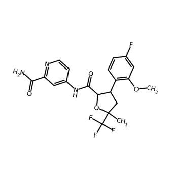 COc1cc(F)ccc1C1CC(C)(C(F)(F)F)OC1C(=O)Nc1ccnc(C(N)=O)c1